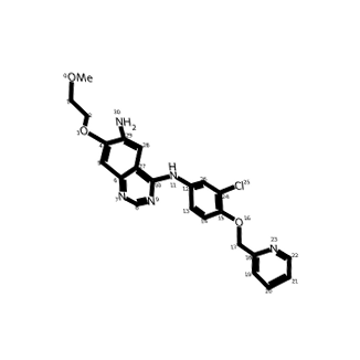 COCCOc1cc2ncnc(Nc3ccc(OCc4ccccn4)c(Cl)c3)c2cc1N